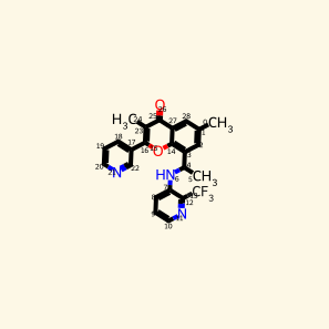 Cc1cc(C(C)Nc2cccnc2C(F)(F)F)c2oc(-c3cccnc3)c(C)c(=O)c2c1